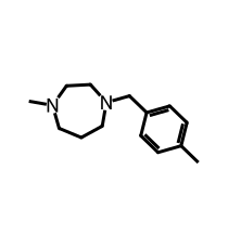 Cc1ccc(CN2CCCN(C)CC2)cc1